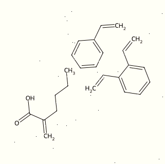 C=C(CCCC)C(=O)O.C=Cc1ccccc1.C=Cc1ccccc1C=C